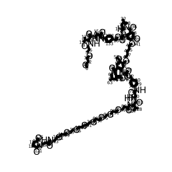 COCCOCCC(=O)N[C@H](C(=O)N[C@@H](C)C(=O)Nc1ccc(COC(=O)N2C[C@@H]3CC(C)=CN3C(=O)c3cc(OC)c(OCCCCCOc4cc5c(cc4OC)C(=O)N4C=C(C)C[C@H]4[C@H](O)N5C(=O)OCc4ccc(NC(=O)CNC(=O)[C@@H](NC(=O)CCOCCOCCOCCOCCOCCOCCOCCOCCNC(=O)CCN5C(=O)C=CC5=O)C(C)C)cc4)cc32)cc1)C(C)C